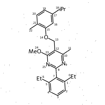 CCc1cccc(CC)c1-c1nc(C)c(COc2cc(C(C)C)ccc2C)c(OC)n1